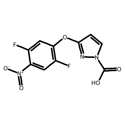 O=C(O)n1ccc(Oc2cc(F)c([N+](=O)[O-])cc2F)n1